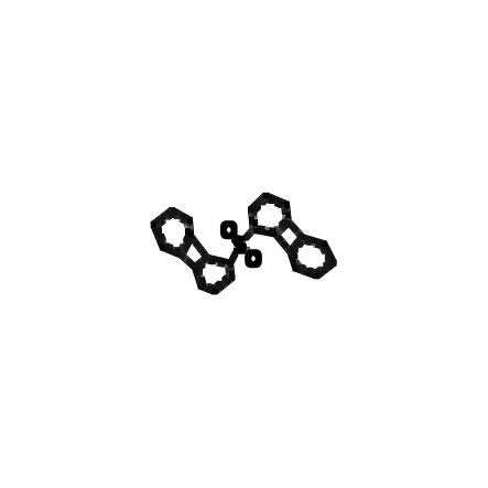 O=S(=O)(c1cccc2c1-c1ccccc1-2)c1cccc2c1-c1ccccc1-2